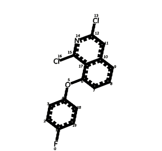 Fc1ccc(Oc2cccc3cc(Cl)nc(Cl)c23)cc1